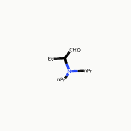 CCCN(CCC)C(C=O)CC